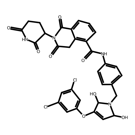 O=C1CCC(N2C(=O)Cc3c(C(=O)Nc4ccc(CN5C(O)C=C(Oc6cc(Cl)cc(Cl)c6)C5O)cc4)cccc3C2=O)C(=O)N1